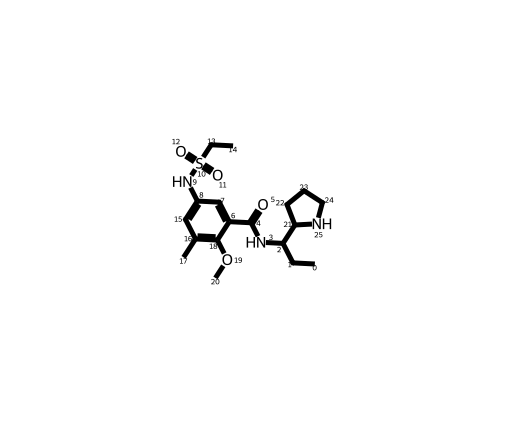 CCC(NC(=O)c1cc(NS(=O)(=O)CC)cc(C)c1OC)C1CCCN1